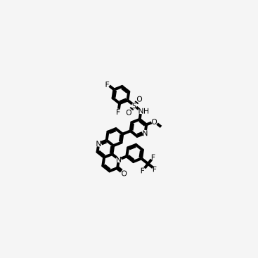 COc1ncc(-c2ccc3ncc4ccc(=O)n(-c5cccc(C(F)(F)F)c5)c4c3c2)cc1NS(=O)(=O)c1ccc(F)cc1F